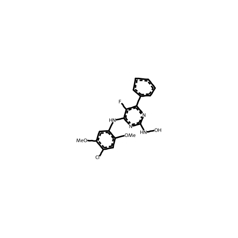 COc1cc(Nc2nc(NO)nc(-c3ccccc3)c2F)c(OC)cc1Cl